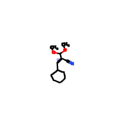 COC(OC)/C(C#N)=C/C1CCCCC1